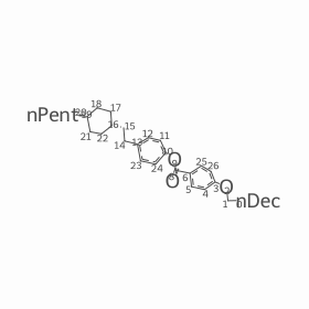 CCCCCCCCCCCOc1ccc(C(=O)Oc2ccc(CC[C@H]3CC[C@H](CCCCC)CC3)cc2)cc1